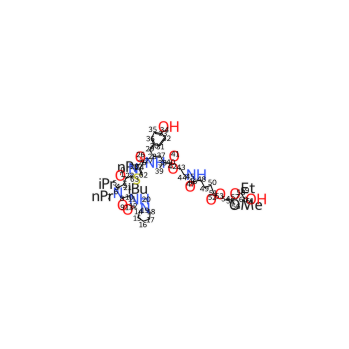 CCCO[C@H](C[C@H](C(C)C)N(CCC)C(=O)[C@@H](NC(=O)[C@H]1CCCCN1C)[C@@H](C)CC)c1nc(C(=O)N[C@@H](Cc2ccc(O)cc2)C[C@H](C)C(=O)OCCNC(=O)CCCC(=O)OCC(OC)OC(CC)CO)cs1